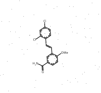 COc1ccc(C(N)=O)cc1C=Cc1ccc(Cl)cc1Cl